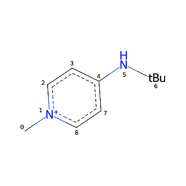 C[n+]1ccc(NC(C)(C)C)cc1